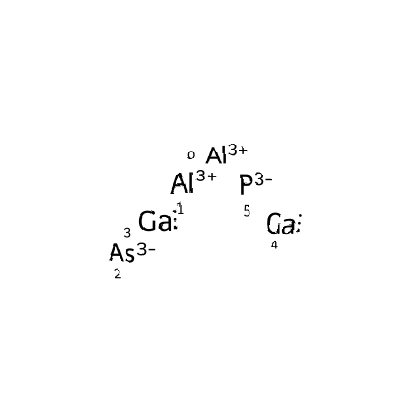 [Al+3].[Al+3].[As-3].[Ga].[Ga].[P-3]